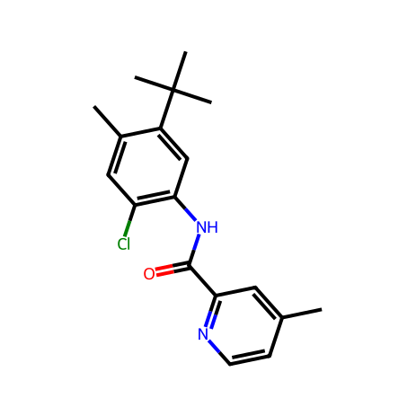 Cc1ccnc(C(=O)Nc2cc(C(C)(C)C)c(C)cc2Cl)c1